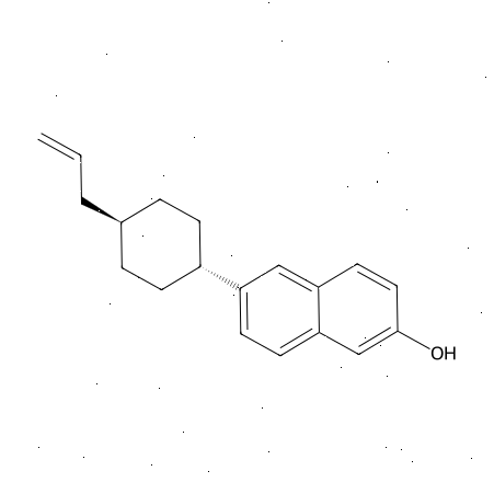 C=CC[C@H]1CC[C@H](c2ccc3cc(O)ccc3c2)CC1